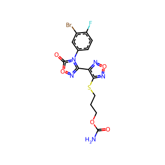 NC(=O)OCCCSc1nonc1-c1noc(=O)n1-c1ccc(F)c(Br)c1